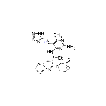 CCC(Nc1nc(N)nc(C)c1/C=C/c1nnn[nH]1)c1cc2ccccc2nc1N1CCOC(=S)C1